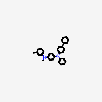 Cc1cccc(N(C)c2ccc(N(c3ccccc3)c3ccc(-c4ccccc4)cc3)cc2)c1